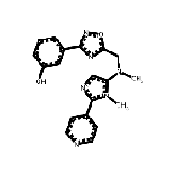 CN(Cc1nc(-c2cccc(O)c2)no1)c1cnc(-c2ccncc2)n1C